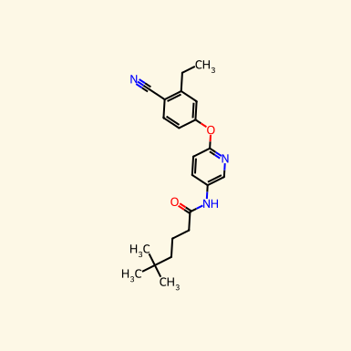 CCc1cc(Oc2ccc(NC(=O)CCCC(C)(C)C)cn2)ccc1C#N